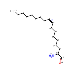 CCCCCCCC/C=C\CCCCCCC(N)C=O